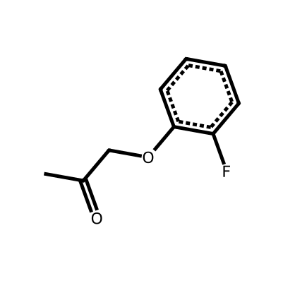 CC(=O)COc1ccccc1F